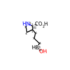 O=C(O)[C@H]1NCCC1CCCBO